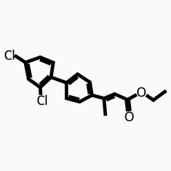 CCOC(=O)C=C(C)c1ccc(-c2ccc(Cl)cc2Cl)cc1